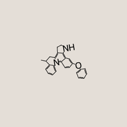 CC(Cc1nc2ccc(Oc3ccccc3)cc2c2c1CCN2)c1ccccc1